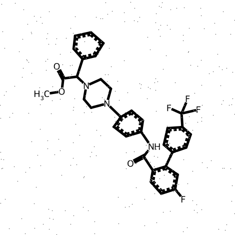 COC(=O)C(c1ccccc1)N1CCN(c2ccc(NC(=O)c3ccc(F)cc3-c3ccc(C(F)(F)F)cc3)cc2)CC1